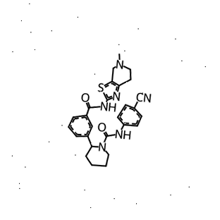 CN1CCc2nc(NC(=O)c3cccc(C4CCCCN4C(=O)Nc4ccc(C#N)cc4)c3)sc2C1